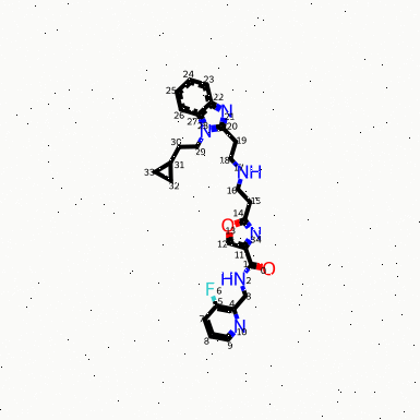 O=C(NCC1=C(F)C=C=C=N1)c1coc(CCNCCc2nc3ccccc3n2CCC2CC2)n1